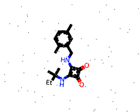 CCC(C)(C)Nc1c(NCc2cc(C)ccc2C)c(=O)c1=O